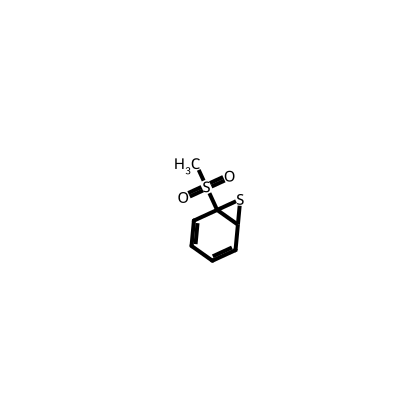 CS(=O)(=O)C12C=CC=CC1S2